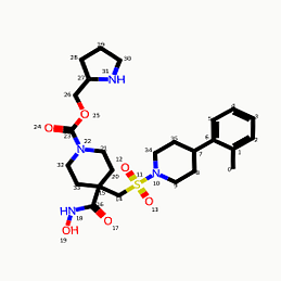 Cc1ccccc1C1CCN(S(=O)(=O)CC2(C(=O)NO)CCN(C(=O)OCC3CCCN3)CC2)CC1